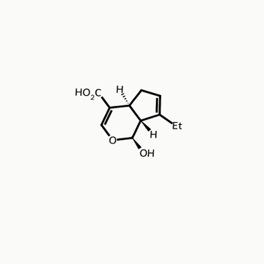 CCC1=CC[C@@H]2C(C(=O)O)=CO[C@H](O)[C@@H]12